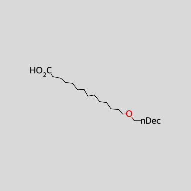 CCCCCCCCCCCOCCCCCCCCCCCCCC(=O)O